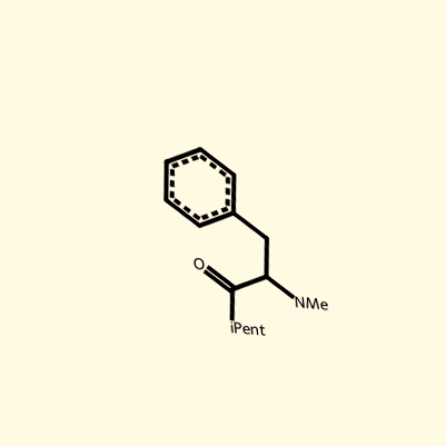 CCCC(C)C(=O)C(Cc1ccccc1)NC